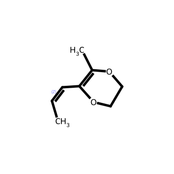 C/C=C\C1=C(C)OCCO1